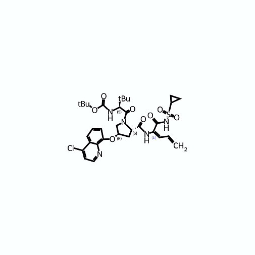 C=C/C=C(/NC(=O)[C@@H]1C[C@@H](Oc2cccc3c(Cl)ccnc23)CN1C(=O)[C@@H](NC(=O)OC(C)(C)C)C(C)(C)C)C(=O)NS(=O)(=O)C1CC1